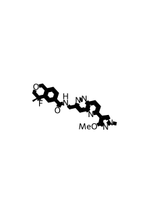 COc1nn(C)cc1-c1ccc2nnc(CNC(=O)c3ccc4c(c3)[C@](C)(F)COC4)cc2n1